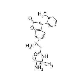 Cc1ccccc1-c1cc(=O)oc2cc(N(C)CC(=O)N[C@H](C)C(N)=O)ccc12